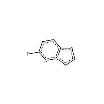 Fc1ccc2n[c]cn2n1